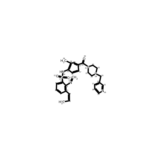 C=Nc1c(/C=C\C)cccc1S(=O)(=O)Nc1ccc(C(=O)N2CCN(Cc3cccnc3)CC2)cc1C